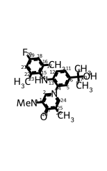 CNc1cn(-c2cc(C(C)(C)O)ccc2Nc2c(C)cc(F)cc2C)cc(C)c1=O